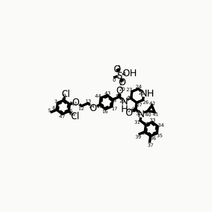 CS(=O)(=O)O.Cc1cc(Cl)c(OCCOc2ccc(C(=O)N[C@H]3CCNCC3C(=O)N(Cc3cccc(C)c3C)C3CC3)cc2)c(Cl)c1